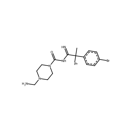 CC(C)C(C)(C(=N)NC(=O)N1CCN(CN)CC1)c1ccc(Br)cc1